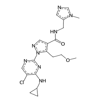 COCCc1c(C(=O)NCc2cncn2C)cnn1-c1ncc(Cl)c(NC2CC2)n1